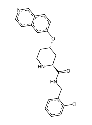 O=C(NCc1ccccc1Cl)[C@@H]1C[C@@H](Oc2ccc3cnccc3c2)CCN1